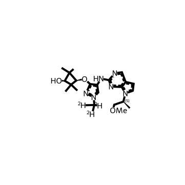 [2H]C([2H])([2H])n1cc(Nc2ncc3ccn([C@@H](C)COC)c3n2)c(O[C@H]2C(C)(C)[C@@H](O)C2(C)C)n1